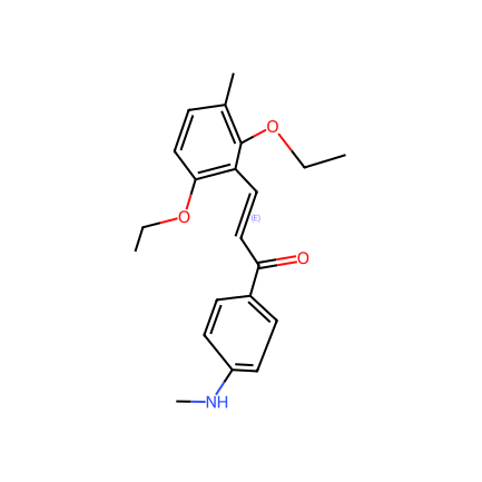 CCOc1ccc(C)c(OCC)c1/C=C/C(=O)c1ccc(NC)cc1